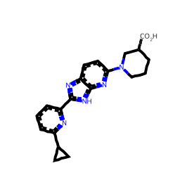 O=C(O)C1CCCN(c2ccc3nc(-c4cccc(C5CC5)n4)[nH]c3n2)C1